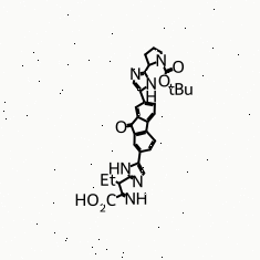 CCC(C(=N)C(=O)O)c1ncc(-c2ccc3c(c2)C(=O)c2cc(-c4cnc(C5CCCN5C(=O)OC(C)(C)C)[nH]4)ccc2-3)[nH]1